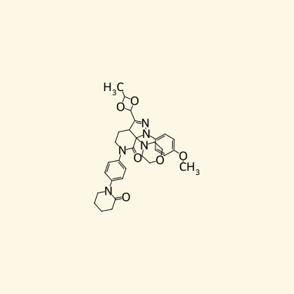 COc1ccc(N2N=C(C3OC(C)O3)C3CCN(c4ccc(N5CCCCC5=O)cc4)C(=O)C32N2CCOCC2)cc1